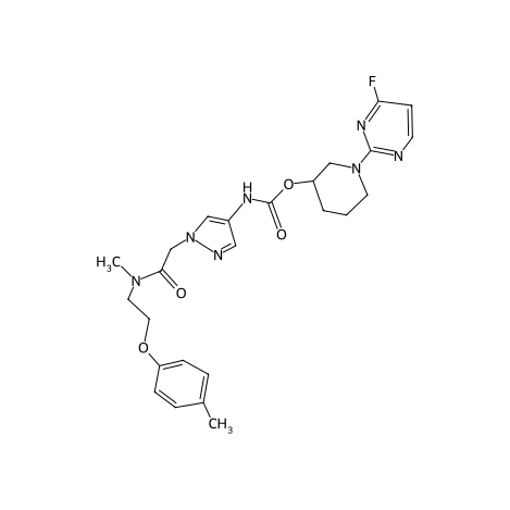 Cc1ccc(OCCN(C)C(=O)Cn2cc(NC(=O)OC3CCCN(c4nccc(F)n4)C3)cn2)cc1